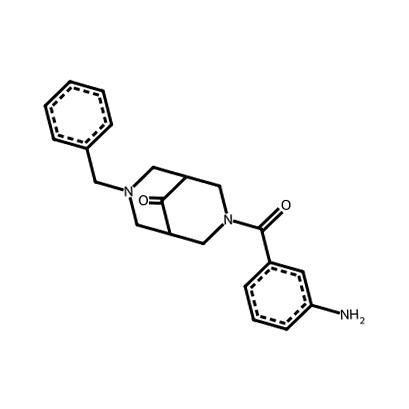 Nc1cccc(C(=O)N2CC3CN(Cc4ccccc4)CC(C2)C3=O)c1